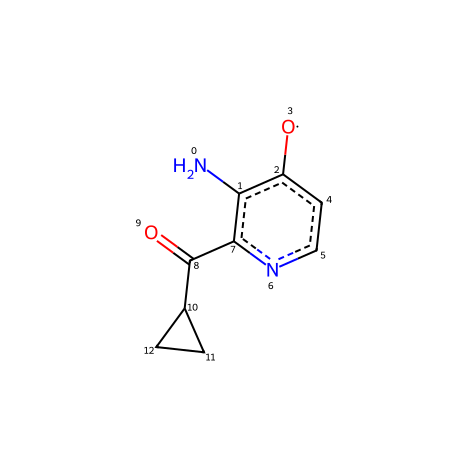 Nc1c([O])ccnc1C(=O)C1CC1